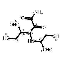 NC(=O)C(=O)N(N[C@H](C=O)CS)[C@H](C=O)CS